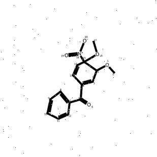 COC1C=C(C(=O)c2ccccc2)C=CC1(OC)[N+](=O)[O-]